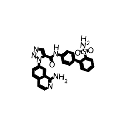 Nc1nccc2ccc(-n3nncc3C(=O)Nc3ccc(-c4ccccc4S(N)(=O)=O)cc3)cc12